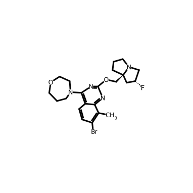 Cc1c(Br)ccc2c(N3CCCOCC3)nc(OC[C@@]34CCCN3C[C@H](F)C4)nc12